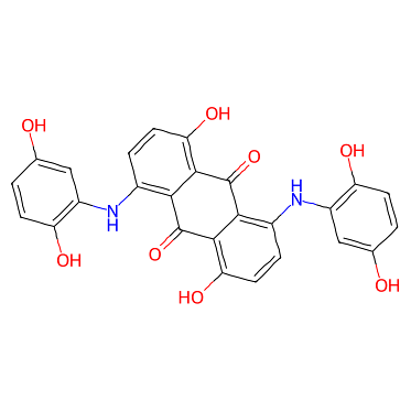 O=C1c2c(O)ccc(Nc3cc(O)ccc3O)c2C(=O)c2c(O)ccc(Nc3cc(O)ccc3O)c21